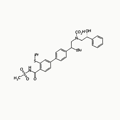 CC(C)Sc1cc(-c2ccc(C(CN(C[C@H](O)c3ccccc3)C(=O)O)C(C)(C)C)cc2)ccc1C(=O)NS(C)(=O)=O